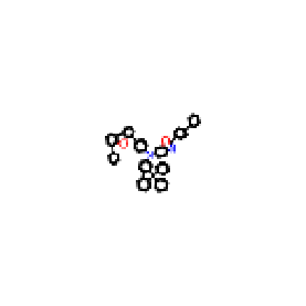 c1ccc(-c2ccc(-c3nc4ccc(N(c5ccc(-c6cccc7c6oc6c(-c8ccccc8)cccc67)cc5)c5ccc6c(c5)C(c5ccccc5)(c5ccccc5)c5ccccc5-6)cc4o3)cc2)cc1